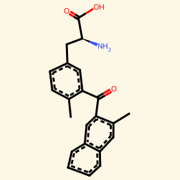 Cc1ccc(C[C@H](N)C(=O)O)cc1C(=O)c1cc2ccccc2cc1C